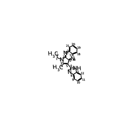 CCn1c(C)c(-c2nc3ccccc3[nH]2)c2nc3ccccc3nc21